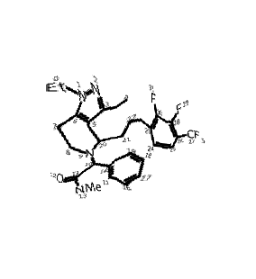 CCn1nc(C)c2c1CCN(C(C(=O)NC)c1ccccc1)C2CCc1ccc(C(F)(F)F)c(F)c1F